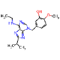 CCNc1ncn(Cc2ccc(OC)c(O)c2)c2nc(C(C)C)nc1-2